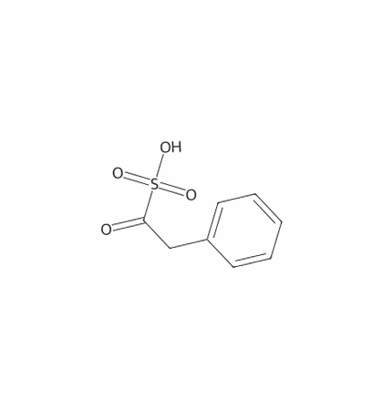 O=C(Cc1ccccc1)S(=O)(=O)O